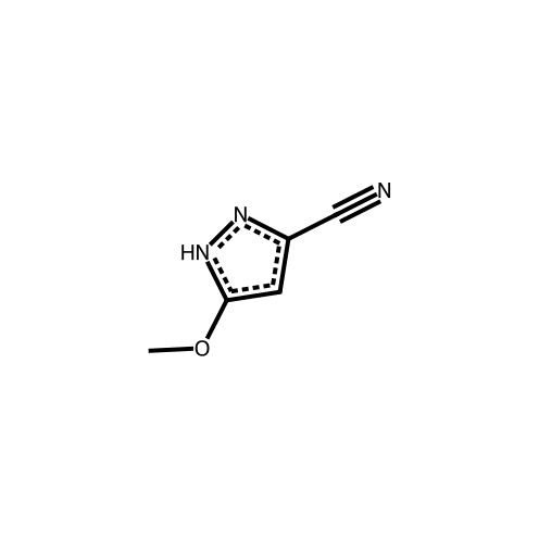 COc1cc(C#N)n[nH]1